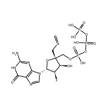 C=NC[C@]1(COP(=O)(O)OP(=O)(O)OP(=O)(O)O)O[C@@H](n2cnc3c(=O)[nH]c(N)nc32)[C@H](F)[C@@H]1O